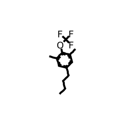 CCCCc1cc(C)c(OC(F)(F)F)c(C)c1